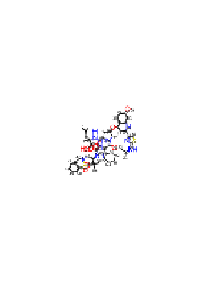 C=CC1C[C@]1(NC(=O)[C@@H]1C[C@@H](Oc2cc(-c3csc(NC(C)C)n3)nc3cc(OC)ccc23)CN1C(=O)[C@@H](NC(=O)N[C@H](CN1Cc2ccccc2S1(=O)=O)C(C)(C)C)C1(C)CCCCC1)C(=O)O